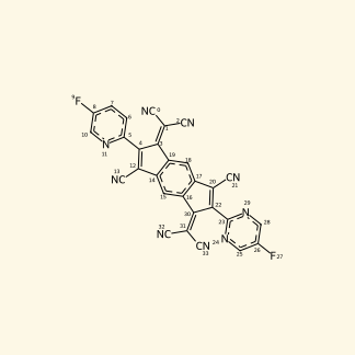 N#CC(C#N)=C1C(c2ccc(F)cn2)=C(C#N)c2cc3c(cc21)C(C#N)=C(c1ncc(F)cn1)C3=C(C#N)C#N